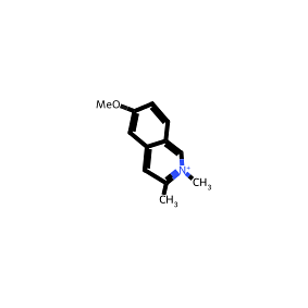 COc1ccc2c[n+](C)c(C)cc2c1